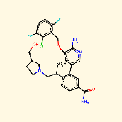 NC(=O)c1ccc(C(CN2CC[C@@H](CO)C2)S(=O)(=O)O)c(-c2cnc(N)c(OCc3c(F)ccc(F)c3Cl)c2)c1